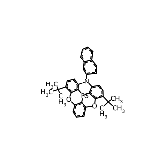 CC(C)(C)c1ccc2c3c1Oc1cccc4c1P3(=S)c1c(ccc(C(C)(C)C)c1O4)N2c1ccc2ccccc2c1